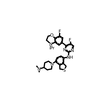 CC(C)N1CCOc2c(F)cc(-c3nc(Nc4ccc(N5CCC(N(C)C)CC5)c5c4CSC5)ncc3F)cc21